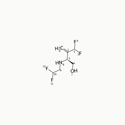 C=C(C(F)F)[C@@H](CO)NCC(F)F